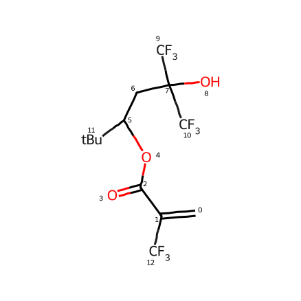 C=C(C(=O)OC(CC(O)(C(F)(F)F)C(F)(F)F)C(C)(C)C)C(F)(F)F